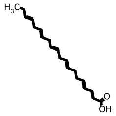 CCC=CCC=CCC=CCC=CCCC=CC=CC(=O)O